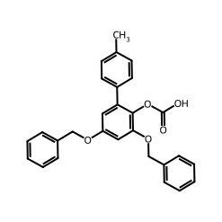 Cc1ccc(-c2cc(OCc3ccccc3)cc(OCc3ccccc3)c2OC(=O)O)cc1